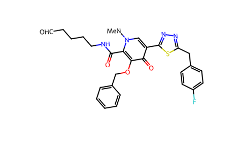 CNn1cc(-c2nnc(Cc3ccc(F)cc3)s2)c(=O)c(OCc2ccccc2)c1C(=O)NCCCCC=O